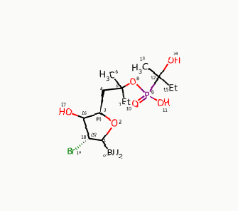 BC1O[C@H](CC(C)(CC)OP(=O)(O)C(C)(O)CC)C(O)[C@H]1Br